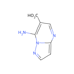 Nc1c(C(=O)O)cnc2ccnn12